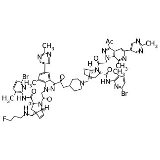 CC(=O)c1nn(CC(=O)N2[C@H](C(=O)Nc3nc(Br)ccc3C)C[C@@]3(CN4CCC(CC(=O)c5nn(CC(=O)N6[C@H](C(=O)Nc7nc(Br)ccc7C)C[C@@]7(CNCCCF)C=C[C@@H]67)c6c(C)cc(-c7cnc(C)nc7)cc56)CC4)CC[C@@H]23)c2c(C)nc(-c3cnc(C)nc3)cc12